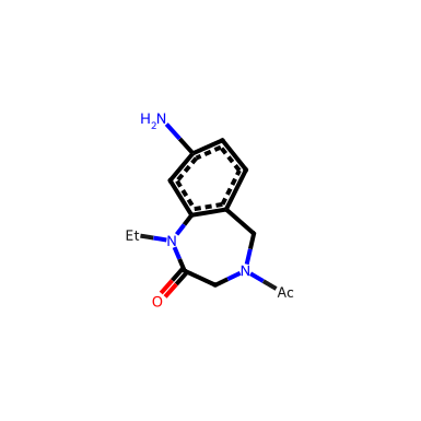 CCN1C(=O)CN(C(C)=O)Cc2ccc(N)cc21